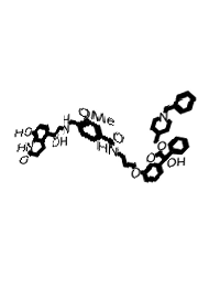 COc1cc(C(=O)NCCCOc2cccc(C(O)(C(=O)OCC3CCN(Cc4ccccc4)CC3)c3ccccc3)c2)ccc1CNC[C@H](O)c1ccc(O)c2[nH]c(=O)ccc12